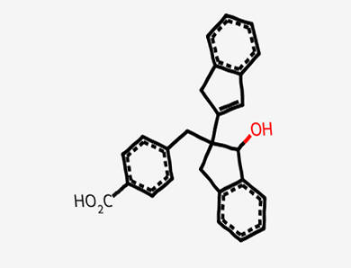 O=C(O)c1ccc(CC2(C3=Cc4ccccc4C3)Cc3ccccc3C2O)cc1